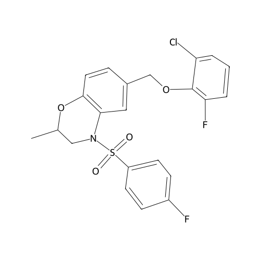 CC1CN(S(=O)(=O)c2ccc(F)cc2)c2cc(COc3c(F)cccc3Cl)ccc2O1